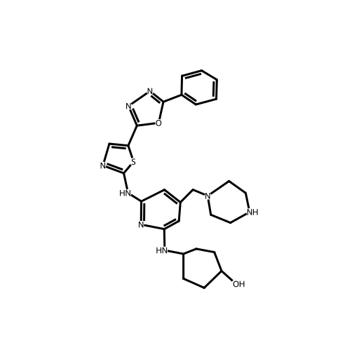 OC1CCC(Nc2cc(CN3CCNCC3)cc(Nc3ncc(-c4nnc(-c5ccccc5)o4)s3)n2)CC1